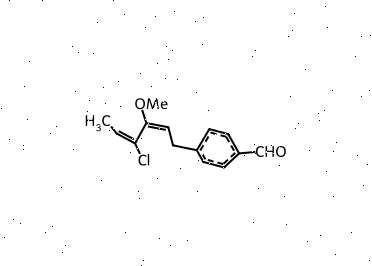 C/C=C(Cl)\C(=C/Cc1ccc(C=O)cc1)OC